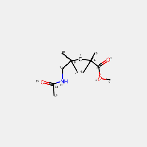 COC(=O)C(C)(C)CC(C)(C)CNC(C)=O